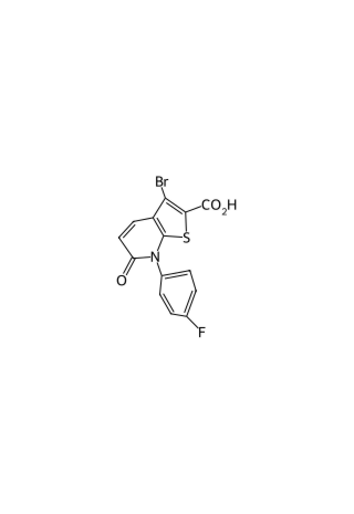 O=C(O)c1sc2c(ccc(=O)n2-c2ccc(F)cc2)c1Br